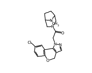 CN1C2CCC1CN(C(=O)Cn1ncc3c1-c1cc(Cl)ccc1OC3)C2